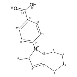 CC1C=C2CCCCC2N1c1ccc(C(=O)O)cc1